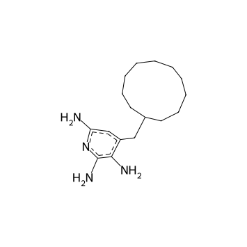 Nc1cc(CC2CCCCCCCCCC2)c(N)c(N)n1